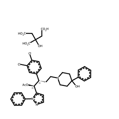 CC(=O)O[C@H](c1ccnn1-c1ccccc1)[C@@H](CCN1CCC(O)(c2ccccc2)CC1)c1ccc(Cl)c(Cl)c1.O=C(O)CC(O)(CC(=O)O)C(=O)O